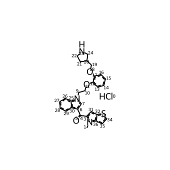 Cl.Cn1c(C(=O)c2cn(CCOc3ccccc3OCC3CCNC3)c3ccccc23)cc2sccc21